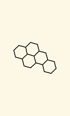 C1CCC2C(C1)CC1CCC3CCCC4CCC2C1C34